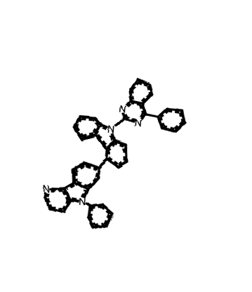 c1ccc(-c2nc(-n3c4ccccc4c4c(-c5ccc6c7ncccc7n(-c7ccccc7)c6c5)cccc43)nc3ccccc23)cc1